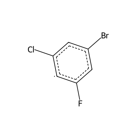 Fc1[c]c(Cl)cc(Br)c1